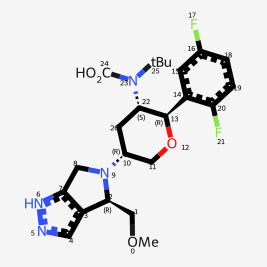 COC[C@H]1c2cn[nH]c2CN1[C@H]1CO[C@H](c2cc(F)ccc2F)[C@@H](N(C(=O)O)C(C)(C)C)C1